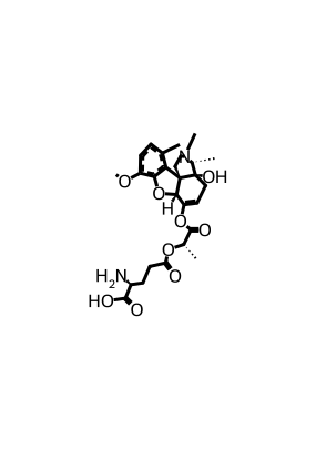 COc1ccc(C)c2c1O[C@H]1C(OC(=O)[C@H](C)OC(=O)CC[C@H](N)C(=O)O)=CC[C@@]3(O)[C@@H](C)N(C)CC[C@]213